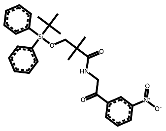 CC(C)(CO[Si](c1ccccc1)(c1ccccc1)C(C)(C)C)C(=O)NCC(=O)c1cccc([N+](=O)[O-])c1